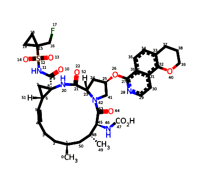 C[C@H]1CC/C=C\[C@@H]2C[C@@]2(C(=O)NS(=O)(=O)C2(CF)CC2)NC(=O)[C@@H]2C[C@@H](Oc3nccc4c5c(ccc34)CCCO5)CN2C(=O)[C@@H](NC(=O)O)[C@H](C)C1